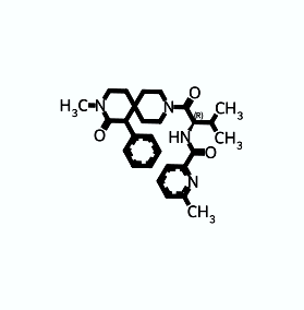 Cc1cccc(C(=O)N[C@@H](C(=O)N2CCC3(CCN(C)C(=O)C3c3ccccc3)CC2)C(C)C)n1